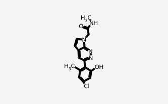 CNC(=O)Cn1ccc2cc(-c3c(C)cc(Cl)cc3O)nnc21